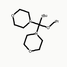 CC(C)OC(N1CCOCC1)(N1CCOCC1)C(C)(C)C